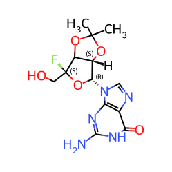 CC1(C)OC2[C@H](O1)[C@H](n1cnc3c(=O)[nH]c(N)nc31)O[C@]2(F)CO